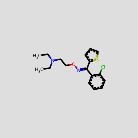 CCN(CC)CCON=C(c1cccs1)c1ccccc1Cl